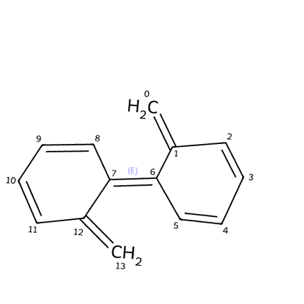 C=c1cccc/c1=c1/ccccc1=C